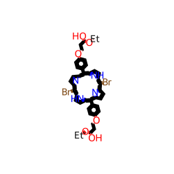 CCOC(O)CCOc1ccc(-c2c3nc(c(Br)c4ccc([nH]4)c(-c4ccc(OCCC(O)OCC)cc4)c4nc(c(Br)c5ccc2[nH]5)C=C4)C=C3)cc1